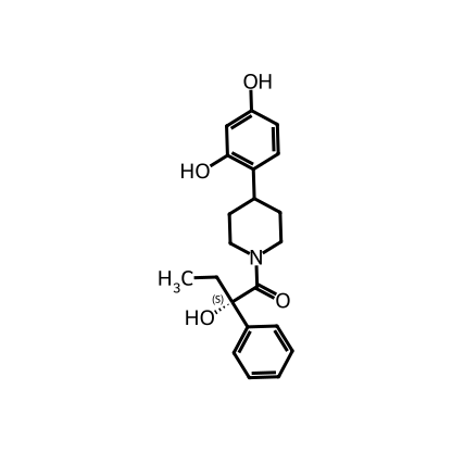 CC[C@@](O)(C(=O)N1CCC(c2ccc(O)cc2O)CC1)c1ccccc1